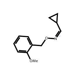 COc1ccccc1CO/N=[C]\C1CC1